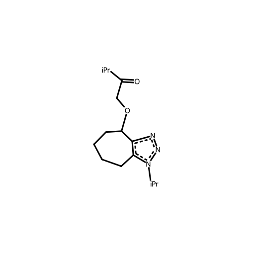 CC(C)C(=O)COC1CCCCc2c1nnn2C(C)C